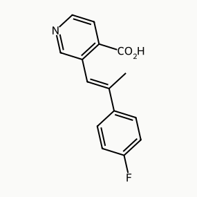 CC(=Cc1cnccc1C(=O)O)c1ccc(F)cc1